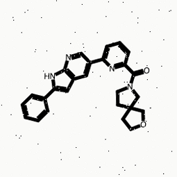 O=C(c1cccc(-c2cnc3[nH]c(-c4ccccc4)cc3c2)n1)N1CCC2(CCOC2)C1